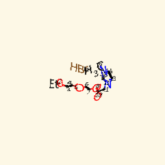 Br.CCOCCOCCOC(=O)CN1C=CN(C)C1